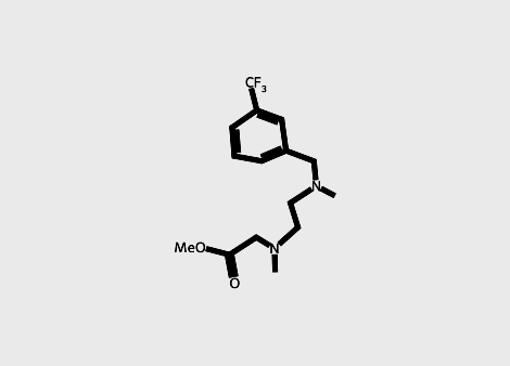 COC(=O)CN(C)CCN(C)Cc1cccc(C(F)(F)F)c1